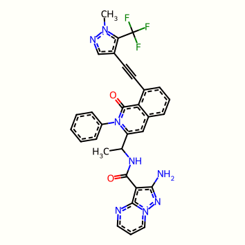 CC(NC(=O)c1c(N)nn2cccnc12)c1cc2cccc(C#Cc3cnn(C)c3C(F)(F)F)c2c(=O)n1-c1ccccc1